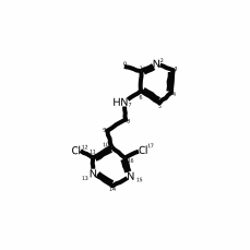 Cc1ncccc1NCCc1c(Cl)ncnc1Cl